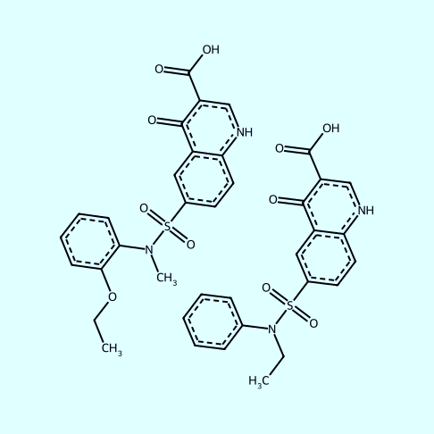 CCN(c1ccccc1)S(=O)(=O)c1ccc2[nH]cc(C(=O)O)c(=O)c2c1.CCOc1ccccc1N(C)S(=O)(=O)c1ccc2[nH]cc(C(=O)O)c(=O)c2c1